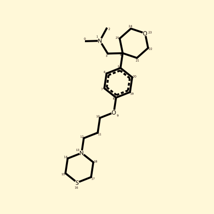 CN(C)CC1(c2ccc(OCCCN3CCSCC3)cc2)CCOCC1